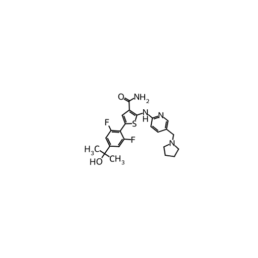 CC(C)(O)c1cc(F)c(-c2cc(C(N)=O)c(Nc3ccc(CN4CCCC4)cn3)s2)c(F)c1